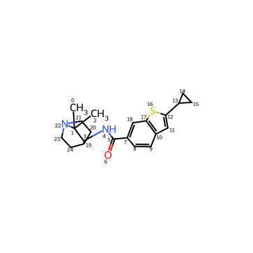 CC1(C)C(NC(=O)c2ccc3cc(C4CC4)sc3c2)C2CCN1CC2